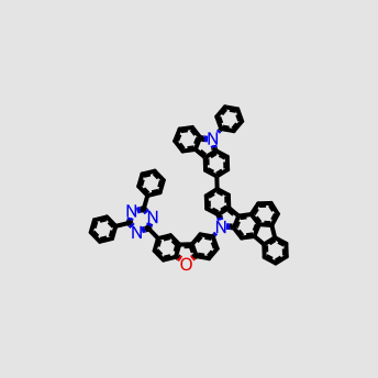 c1ccc(-c2nc(-c3ccccc3)nc(-c3ccc4oc5ccc(-n6c7ccc(-c8ccc9c(c8)c8ccccc8n9-c8ccccc8)cc7c7c8cccc9c8c(cc76)-c6ccccc6-9)cc5c4c3)n2)cc1